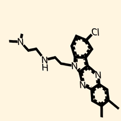 Cc1cc2nc3c4cc(Cl)ccc4n(CCNCCN(C)C)c3nc2cc1C